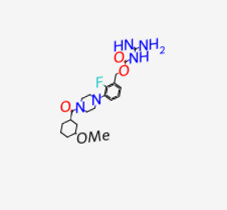 CO[C@@H]1CCC[C@@H](C(=O)N2CCN(c3cccc(COC(=O)NC(=N)N)c3F)CC2)C1